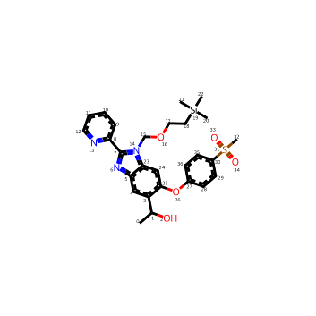 CC(O)c1cc2nc(-c3ccccn3)n(COCC[Si](C)(C)C)c2cc1Oc1ccc(S(C)(=O)=O)cc1